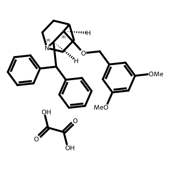 COc1cc(CO[C@@H]2C3CCN(CC3)[C@@H]2C(c2ccccc2)c2ccccc2)cc(OC)c1.O=C(O)C(=O)O